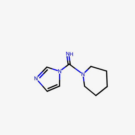 N=C(N1CCCCC1)n1ccnc1